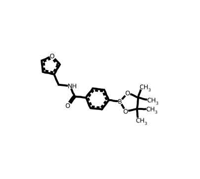 CC1(C)OB(c2ccc(C(=O)NCc3ccoc3)cc2)OC1(C)C